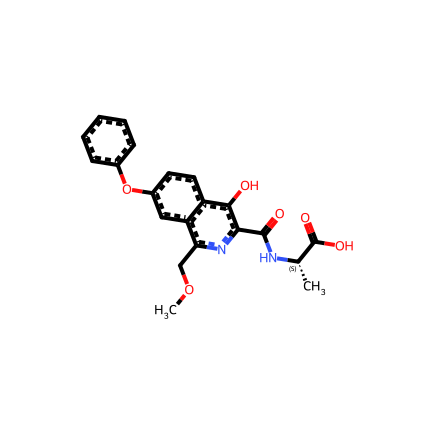 COCc1nc(C(=O)N[C@@H](C)C(=O)O)c(O)c2ccc(Oc3ccccc3)cc12